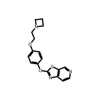 c1cc2nc(Oc3ccc(OCCN4CCC4)cc3)sc2cn1